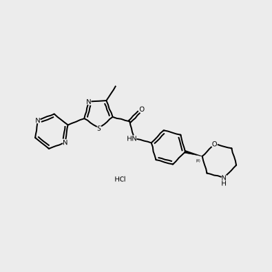 Cc1nc(-c2cnccn2)sc1C(=O)Nc1ccc([C@@H]2CNCCO2)cc1.Cl